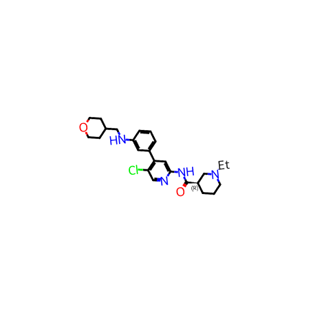 CCN1CCC[C@@H](C(=O)Nc2cc(-c3cccc(NCC4CCOCC4)c3)c(Cl)cn2)C1